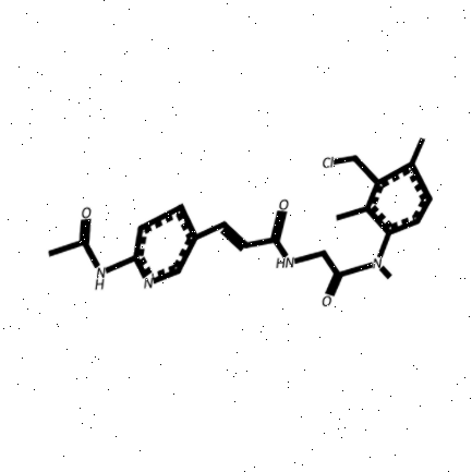 CC(=O)Nc1ccc(C=CC(=O)NCC(=O)N(C)c2ccc(C)c(CCl)c2C)cn1